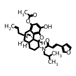 C=CCN1CC[C@]23c4c5c(OC(C)=O)cc(O)c4O[C@@H]2[C@H](N(CC(C)C)C(=O)C=Cc2ccoc2)CC[C@H]3[C@H]1C5